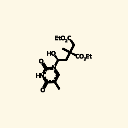 CCOC(=O)C[C@@](C)(C[C@H](O)n1cc(C)c(=O)[nH]c1=O)C(=O)OCC